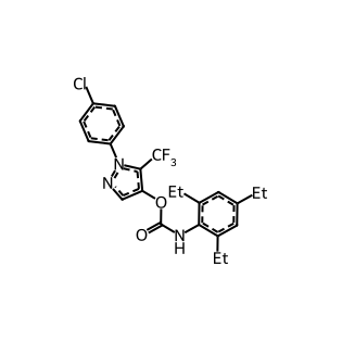 CCc1cc(CC)c(NC(=O)Oc2cnn(-c3ccc(Cl)cc3)c2C(F)(F)F)c(CC)c1